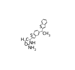 CC(NC(N)=O)c1cc2cc(C(C)c3cc4ccccc4s3)ccc2s1